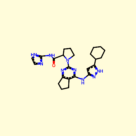 O=C(Nc1ncc[nH]1)C1CCCN1c1nc2c(c(Nc3cc(C4CCCCC4)[nH]n3)n1)CCC2